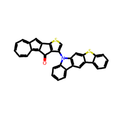 O=C1c2c3cccccc-3cc2-c2scc(-n3c4ccccc4c4cc5c(cc43)sc3ccccc35)c21